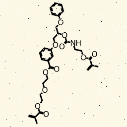 C=C(C)C(=O)OCCNC(=O)OC(COc1ccccc1)COc1cccc(C(=O)OCCOCCOC(=O)C(=C)C)c1